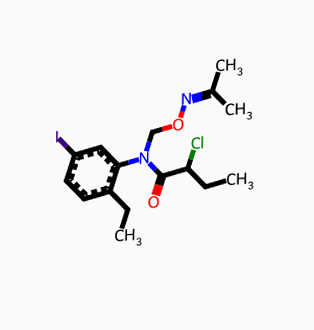 CCc1ccc(I)cc1N(CON=C(C)C)C(=O)C(Cl)CC